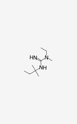 CCN(C)C(=N)NC(C)(C)CC